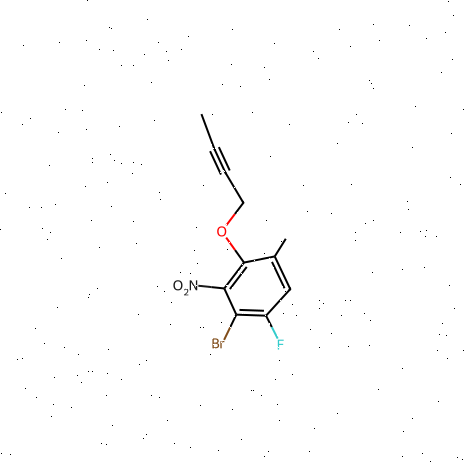 CC#CCOc1c(C)cc(F)c(Br)c1[N+](=O)[O-]